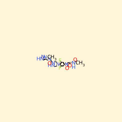 CC(=O)NC[C@H]1CN(c2cc(F)c(N3CCNN(C(=O)CN(C)Cc4c[nH]nn4)CC3)c(F)c2)C(=O)O1